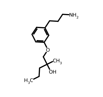 CCCC(C)(O)COc1cccc(CCCN)c1